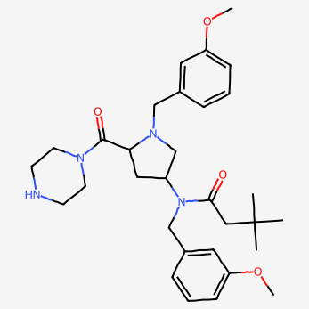 COc1cccc(CN2CC(N(Cc3cccc(OC)c3)C(=O)CC(C)(C)C)CC2C(=O)N2CCNCC2)c1